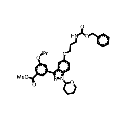 COC(=O)c1cc(OC(C)C)cc(-c2nn(C3CCCCO3)c3ccc(OCCCNC(=O)OCc4ccccc4)cc23)c1